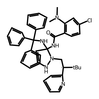 CN(C)c1cc(Cl)ccc1C(=O)NC1(NC(c2ccccc2)(c2ccccc2)c2ccccc2)C=CNN1C[C](c1ccccn1)C(C)(C)C